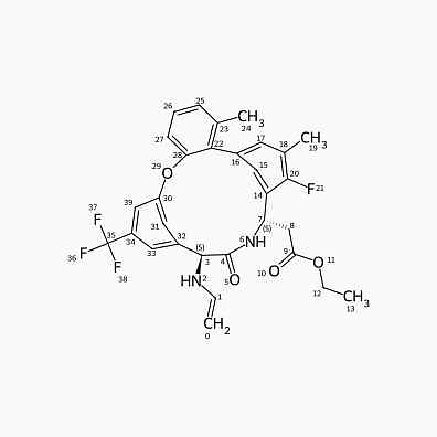 C=CN[C@@H]1C(=O)N[C@@H](CC(=O)OCC)c2cc(cc(C)c2F)-c2c(C)cccc2Oc2cc1cc(C(F)(F)F)c2